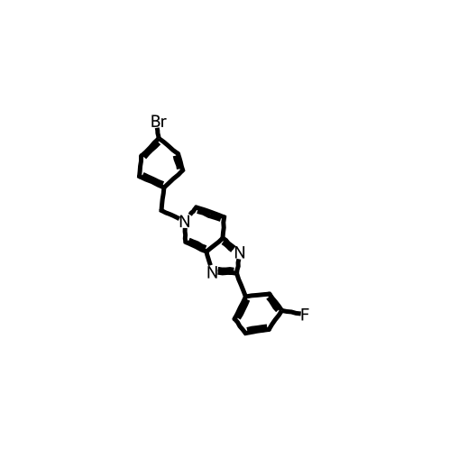 Fc1cccc(-c2nc3ccn(Cc4ccc(Br)cc4)cc-3n2)c1